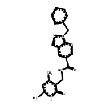 Cc1cc(C)c(CNC(=O)c2cnc3c(cnn3Cc3ccccc3)c2)c(=O)[nH]1